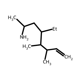 C=CC(C)C(C)C(CC)CC(C)N